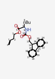 C=CCCOC(=O)C(CCCC)NC(=O)OCC1c2ccccc2-c2ccccc21